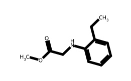 CCc1ccccc1NCC(=O)OC